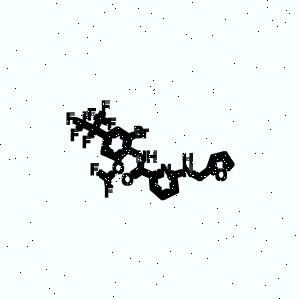 O=C(Nc1c(Br)cc(C(F)(C(F)(F)F)C(F)(F)F)cc1OC(F)F)c1cccc(NCc2ccco2)n1